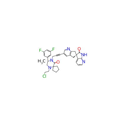 C[C@@]1(c2cc(F)cc(F)c2)CN(CCCl)C2(CCCC2)C(=O)N1CC#Cc1cnc2c(c1)C[C@@]1(C2)C(=O)Nc2ncccc21